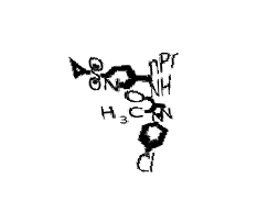 CCCC(NC(=O)c1cnn(-c2ccc(Cl)cc2)c1C)c1ccc(S(=O)(=O)C2CC2)nc1